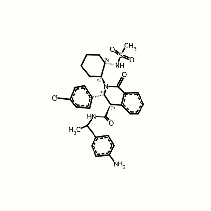 CC(NC(=O)[C@@H]1c2ccccc2C(=O)N([C@H]2CCCC[C@@H]2NS(C)(=O)=O)[C@H]1c1ccc(Cl)cc1)c1ccc(N)cc1